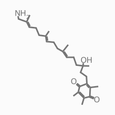 CC1=C(C)C(=O)C(CCC(C)(O)CC/C=C(\C)CC/C=C(\C)CC/C=C(\C)CN)=C(C)C1=O